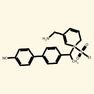 CCS(=O)(=O)[N+]1(C(C)c2ccc(-c3ccc(C#N)cc3)cc2)C=C(CN)C=CC1